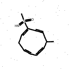 CC1/C=C\C=C/C/C=C(S(C)(=N)=O)\C=C/1